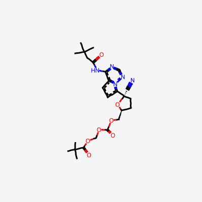 CC(C)(C)CC(=O)Nc1ncnn2c([C@@]3(C#N)CC[C@@H](COC(=O)OCOC(=O)C(C)(C)C)O3)ccc12